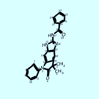 CC1(C)C(=O)N(c2ccccc2)c2cc3[nH]c(NC(=O)c4ccccc4)nc3cc21